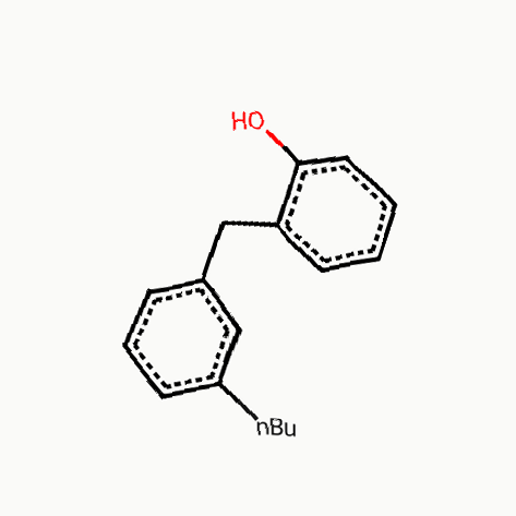 CCCCc1cccc(Cc2ccccc2O)c1